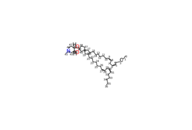 CCCCC/C=C\C/C=C\CCCCCCCCC1(CCCCCCCC/C=C\C/C=C\CCCCC)CCC2(C1)O[C@H]1CN(C)CC[C@H]1O2